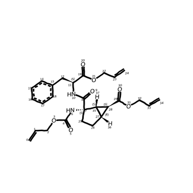 C=CCOC(=O)N[C@@]1(C(=O)N[C@@H](Cc2ccccc2)C(=O)OCC=C)CC[C@H]2[C@H](C(=O)OCC=C)[C@H]21